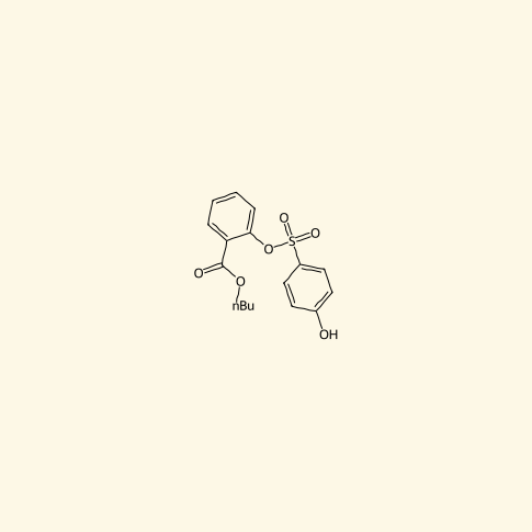 CCCCOC(=O)c1ccccc1OS(=O)(=O)c1ccc(O)cc1